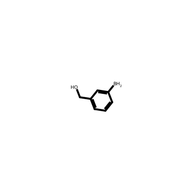 Bc1cccc(CO)c1